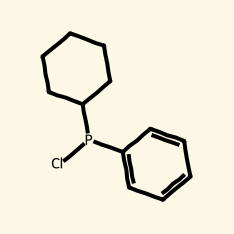 ClP(c1ccccc1)C1CCCCC1